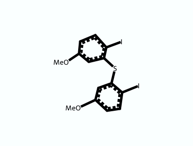 COc1ccc(I)c(Sc2cc(OC)ccc2I)c1